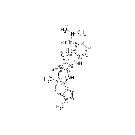 Cc1ccc([C@H](Nc2c(Nc3cccc(C(=O)N(C)C)c3O)c(=O)c2=O)C(C)(F)F)o1